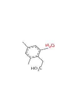 Cc1cc(C)c(CC(=O)O)c(C)c1.O